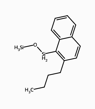 CCCCc1ccc2ccccc2c1[SiH2]O[SiH3]